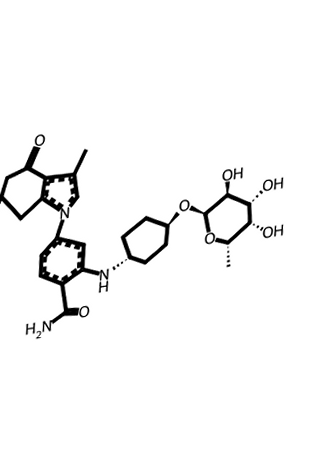 Cc1cn(-c2ccc(C(N)=O)c(N[C@H]3CC[C@H](O[C@@H]4O[C@@H](C)[C@@H](O)[C@@H](O)[C@@H]4O)CC3)c2)c2c1C(=O)CC(C)(C)C2